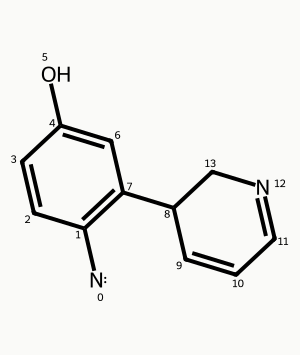 [N]c1ccc(O)cc1C1C=CC=NC1